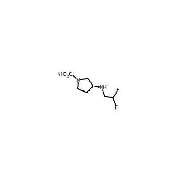 O=C(O)N1CC[C@H](NCC(F)F)C1